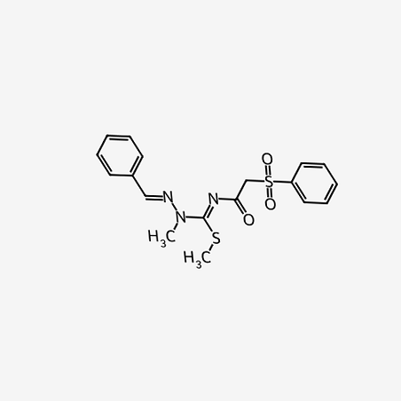 CSC(=NC(=O)CS(=O)(=O)c1ccccc1)N(C)N=Cc1ccccc1